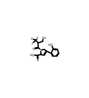 O=C(O)C1C=C(c2ccccc2O)CN1C(=O)C(CS)C(F)(F)F